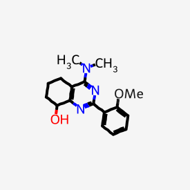 COc1ccccc1-c1nc2c(c(N(C)C)n1)CCCC2O